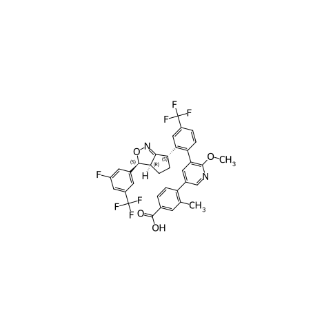 COc1ncc(-c2ccc(C(=O)O)cc2C)cc1-c1ccc(C(F)(F)F)cc1[C@@H]1CC[C@@H]2C1=NO[C@@H]2c1cc(F)cc(C(F)(F)F)c1